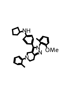 COc1cccc(C)c1-n1nc2c(c1-c1ccc(NC3CCCC3)cc1)CN(c1ccccc1C)CC2